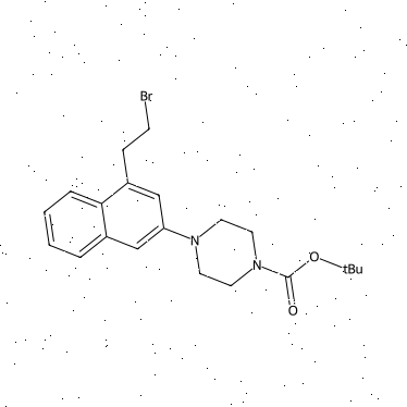 CC(C)(C)OC(=O)N1CCN(c2cc(CCBr)c3ccccc3c2)CC1